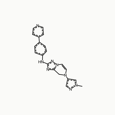 Cn1cc(N2C=Cn3nc(Nc4ccc(-c5ccncc5)cc4)nc3C2)cn1